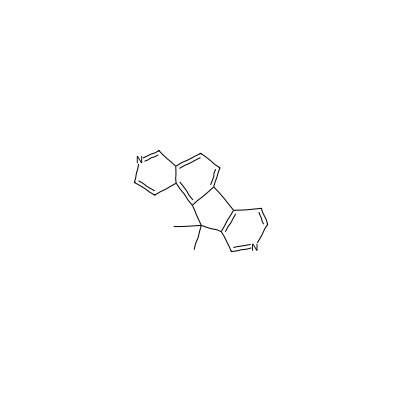 CC1(C)c2cnccc2-c2ccc3cnccc3c21